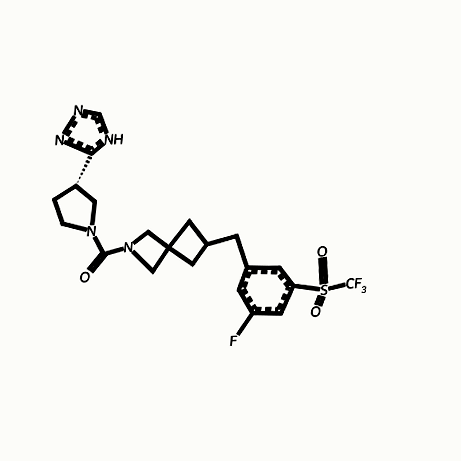 O=C(N1CC[C@H](c2nnc[nH]2)C1)N1CC2(CC(Cc3cc(F)cc(S(=O)(=O)C(F)(F)F)c3)C2)C1